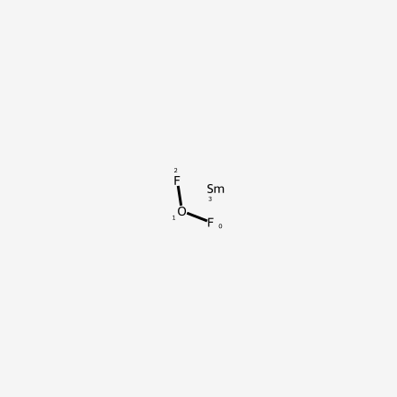 FOF.[Sm]